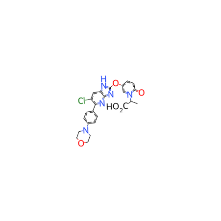 CC(C(=O)O)n1cc(Oc2nc3nc(-c4ccc(N5CCOCC5)cc4)c(Cl)cc3[nH]2)ccc1=O